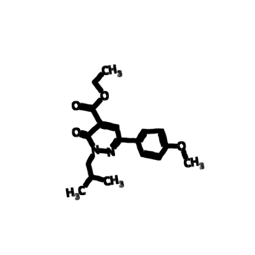 CCOC(=O)c1cc(-c2ccc(OC)cc2)nn(CC(C)C)c1=O